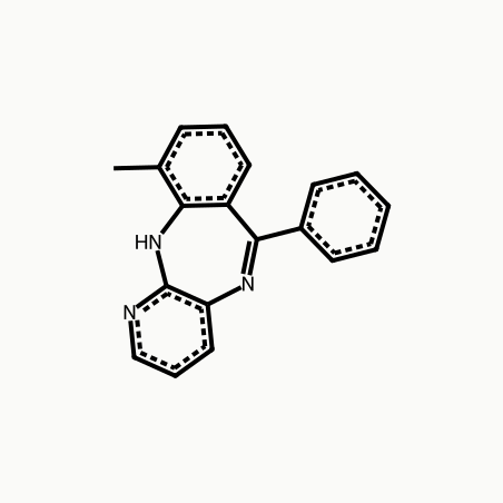 Cc1cccc2c1Nc1ncccc1N=C2c1ccccc1